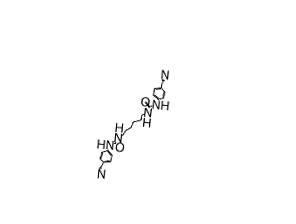 N#Cc1ccc(NC(=O)NCCCCCCNC(=O)Nc2ccc(C#N)cc2)cc1